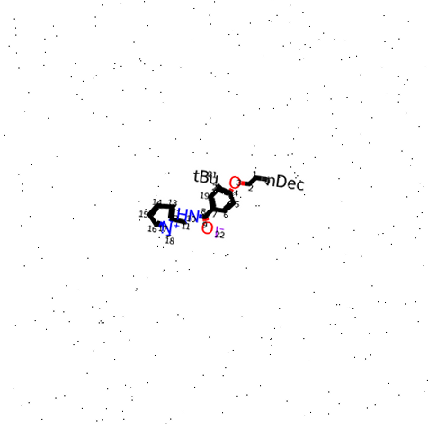 CCCCCCCCCCCCOc1ccc(C(=O)NCc2cccc[n+]2C)cc1C(C)(C)C.[I-]